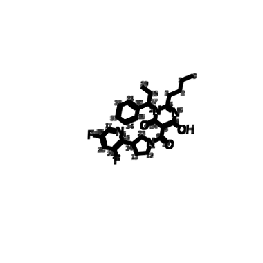 CCCCc1nc(O)c(C(=O)N2CCC(c3ncc(F)cc3F)C2)c(=O)n1C(CC)c1ccccc1